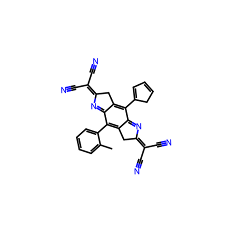 Cc1ccccc1-c1c2c(c(C3=CC=CC3)c3c1=NC(=C(C#N)C#N)C3)=NC(=C(C#N)C#N)C2